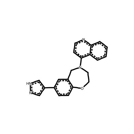 c1ccc2c(N3CCOc4ccc(-c5cn[nH]c5)cc4C3)ccnc2c1